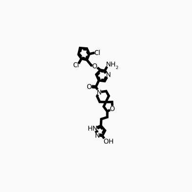 Nc1ncc(C(=O)N2CCC3(CC2)COC(CCc2cc(O)n[nH]2)C3)cc1OCc1c(Cl)cccc1Cl